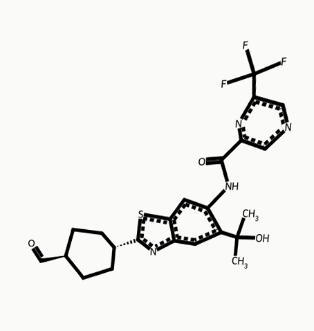 CC(C)(O)c1cc2nc([C@H]3CC[C@H](C=O)CC3)sc2cc1NC(=O)c1cncc(C(F)(F)F)n1